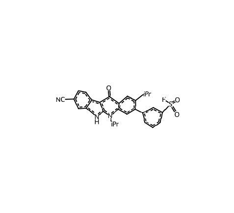 CC(C)c1cc2c(=O)c3c4ccc(C#N)cc4[nH]c3n(C(C)C)c2cc1-c1cccc(S(=O)(=O)F)c1